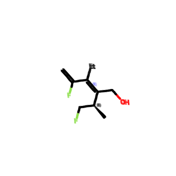 C=C(F)/C(CC)=C(/CO)[C@@H](C)CF